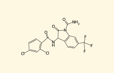 NC(=O)N1C(=O)C(NC(=O)c2ccc(Cl)cc2Cl)c2ccc(C(F)(F)F)cc21